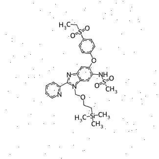 CCS(=O)(=O)c1ccc(Oc2cc3nc(-c4ccccn4)n(COCC[Si](C)(C)C)c3cc2NS(C)(=O)=O)cc1